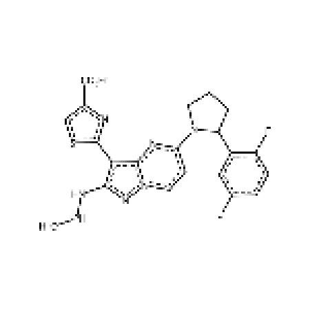 CCOC(=O)c1csc(-c2c(NPC)nn3ccc(N4CCCC4c4cc(F)ccc4F)nc23)n1